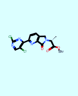 C[C@H](C(=O)OC(C)(C)C)N1Cc2ccc(-c3nc(Cl)ncc3Cl)nc2C1=O